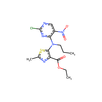 CCCN(c1nc(Cl)ncc1[N+](=O)[O-])c1sc(C)nc1C(=O)OCC